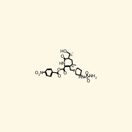 C[C@@H]1CC([C@@H](C)O)C(=O)NC(C(=O)OC(=O)c2ccc([N+](=O)[O-])cc2)=C1CN1CC[C@H](NS(N)(=O)=O)C1